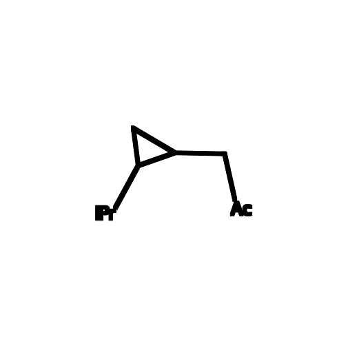 CC(=O)CC1CC1C(C)C